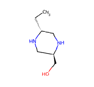 CC[C@@H]1CN[C@@H](CO)CN1